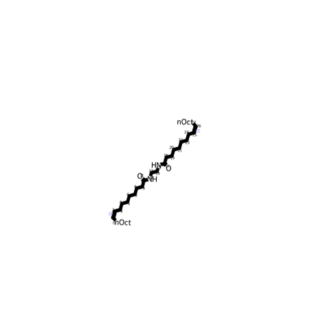 CCCCCCCC/C=C\CCCCCCCC(=O)NCCNC(=O)CCCCCCC/C=C\CCCCCCCC